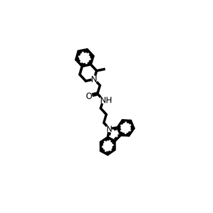 CC1c2ccccc2CCN1CC(=O)NCCCn1c2ccccc2c2ccccc21